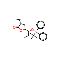 C[CH][C@H]1C[C@@H]([C@H](CC)O[Si](c2ccccc2)(c2ccccc2)C(C)(C)C)OC1=O